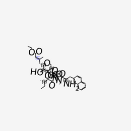 CCOC(=O)/C=C(\C)C[C@@H]1OC[C@@H](OS(=O)(=O)N(C(=O)C[C@@H](C)CC)N(C)C(=O)[C@@H](N)Cc2ccc3ccccc3c2)[C@H](O)[C@H]1O